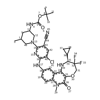 CC1CC(NC(=O)OC(C)(C)C)CN(c2nc(Nc3ccc4c(c3)c3c(c(=O)n4C)OCC(F)(F)[C@H](C4CC4)N3)c(Cl)cc2C#N)C1